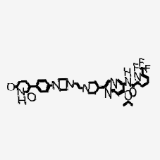 CC(C)Oc1cc2nc(C3CCN(CCN4CCN(c5ccc(C6CCC(=O)NC6=O)cc5)CC4)CC3)cn2cc1NC(=O)c1cccc(C(F)(F)F)n1